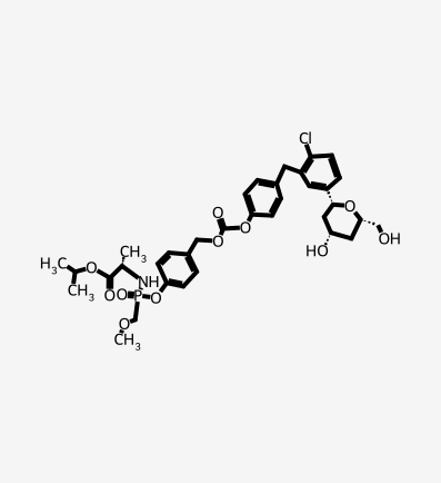 COCP(=O)(N[C@@H](C)C(=O)OC(C)C)Oc1ccc(COC(=O)Oc2ccc(Cc3cc([C@H]4C[C@@H](O)C[C@@H](CO)O4)ccc3Cl)cc2)cc1